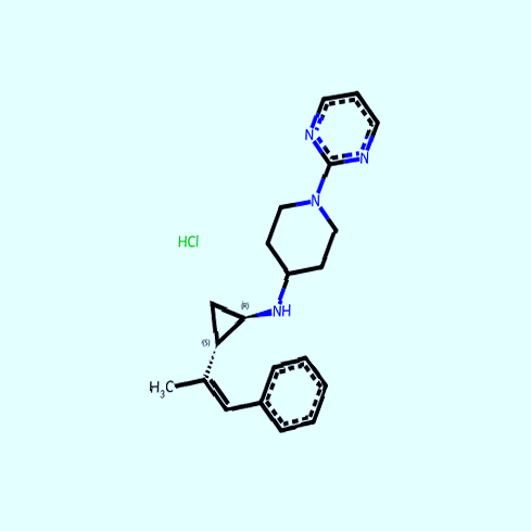 CC(=Cc1ccccc1)[C@@H]1C[C@H]1NC1CCN(c2ncccn2)CC1.Cl